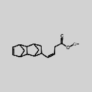 O=C(C/C=C\C1CC2CC1C1C3C=CC(C3)C21)OO